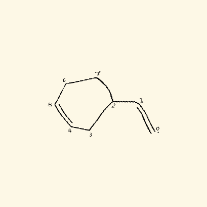 [CH]=CC1CC=CCC1